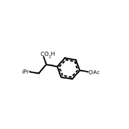 CC(=O)Oc1ccc(C(CC(C)C)C(=O)O)cc1